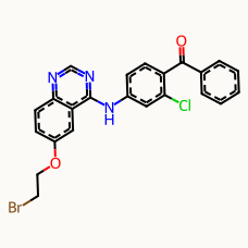 O=C(c1ccccc1)c1ccc(Nc2ncnc3ccc(OCCBr)cc23)cc1Cl